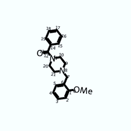 COc1ccccc1CN1CCN(C(=O)c2[c]cccc2)CC1